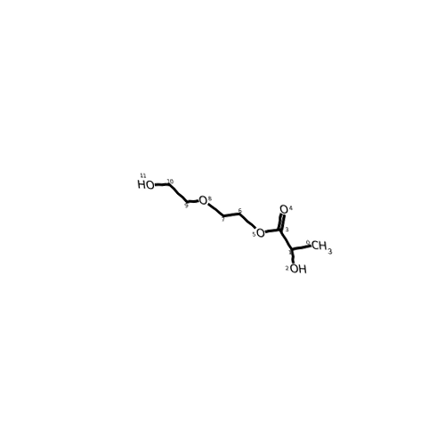 CC(O)C(=O)OCCOCCO